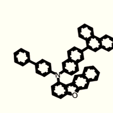 c1ccc(-c2ccc(N(c3ccc4cc(-c5cc6ccccc6c6ccccc56)ccc4c3)c3cccc4oc5cc6ccccc6cc5c34)cc2)cc1